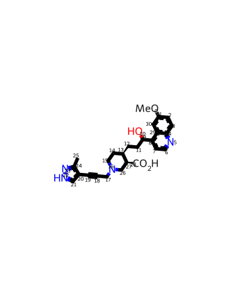 COc1ccc2nccc(C(O)CC[C@@H]3CCN(CC#Cc4c[nH]nc4C)C[C@@H]3C(=O)O)c2c1